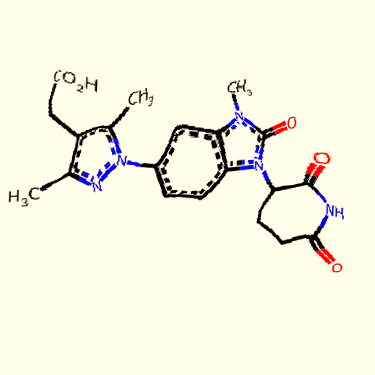 Cc1nn(-c2ccc3c(c2)n(C)c(=O)n3C2CCC(=O)NC2=O)c(C)c1CC(=O)O